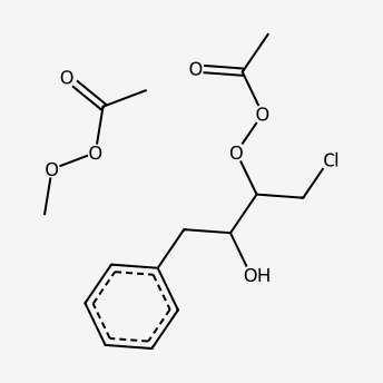 CC(=O)OOC(CCl)C(O)Cc1ccccc1.COOC(C)=O